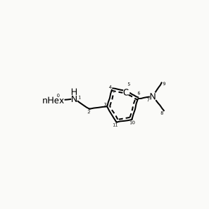 CCCCCCNCc1ccc(N(C)C)cc1